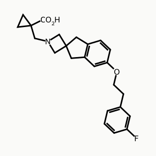 O=C(O)C1(CN2CC3(Cc4ccc(OCCc5cccc(F)c5)cc4C3)C2)CC1